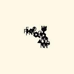 COc1ncnc(C2CC2)c1-c1ncc2cc(-c3cnn(C)c3)c(=O)n(Cc3ccc(-n4nc(C(F)(F)F)cc4OC)cc3)c2n1